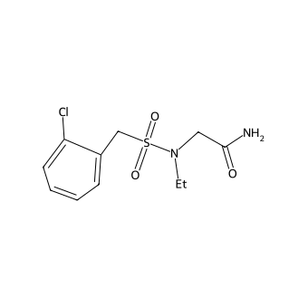 CCN(CC(N)=O)S(=O)(=O)Cc1ccccc1Cl